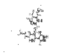 C=C(/C=C\C=C(C)C)n1c(SCC(=O)Nc2cc(OC)ccc2OC)nc2[nH]nc(C)c2c1=N